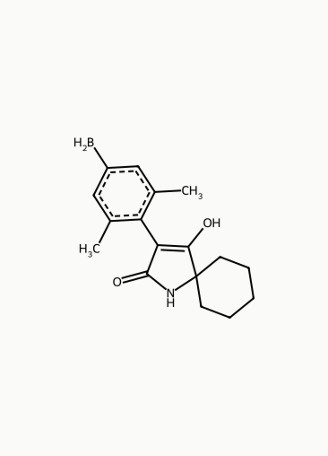 Bc1cc(C)c(C2=C(O)C3(CCCCC3)NC2=O)c(C)c1